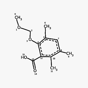 COCOc1c(C)cc(C)c(C)c1C(=O)O